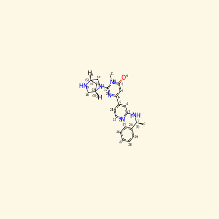 C[C@H](Nc1cc(-c2cc(=O)n(C)c(N3C[C@@H]4C[C@H]3CN4)n2)ccn1)c1ccccc1